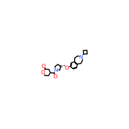 O=C1CC(C(=O)N2CC[C@H](COc3ccc4c(c3)CCN(C3CCC3)CC4)C2)CCO1